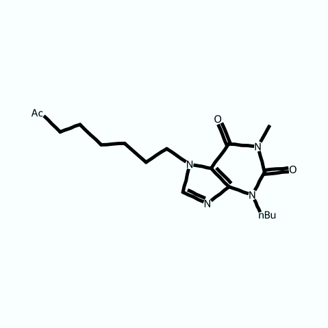 CCCCn1c(=O)n(C)c(=O)c2c1ncn2CCCCCCC(C)=O